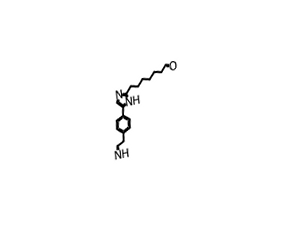 N=CCc1ccc(-c2cnc(CCCCCCC=O)[nH]2)cc1